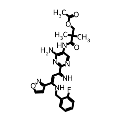 CC(=O)OCC(C)(C)C(=O)Nc1cnc(C(=N)/C=C(\NCc2ccccc2F)c2ccon2)nc1N